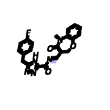 CN1C(=O)C(/C=N/C(=O)c2nnc(Cc3ccc(F)cc3)[nH]2)COc2ccccc21